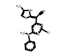 CC1=CSC(=C(C#N)c2cc(N(C)c3ccccc3)nc(Cl)n2)N1